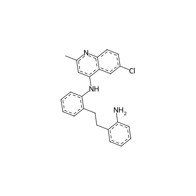 Cc1cc(Nc2ccccc2CCc2ccccc2N)c2cc(Cl)ccc2n1